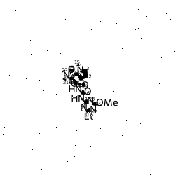 CCc1nc(NC(=O)NS(=O)(=O)c2ccn(C)c2S(=O)(=O)N(C)C)nc(OC)n1